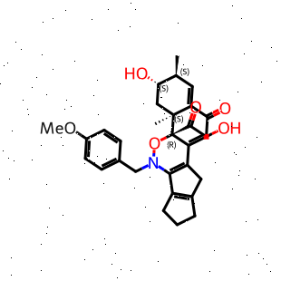 COc1ccc(CN2O[C@@]3(C(=O)CO)C(=CC(=O)C4=C[C@H](C)[C@@H](O)C[C@@]43C)C3=C2C2=C(CCC2)C3)cc1